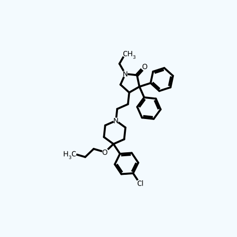 CCCOC1(c2ccc(Cl)cc2)CCN(CCC2CN(CC)C(=O)C2(c2ccccc2)c2ccccc2)CC1